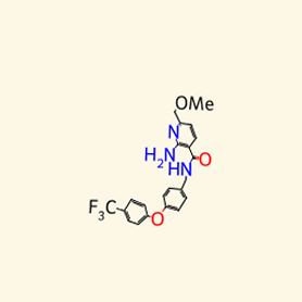 COCc1ccc(C(=O)NCc2ccc(Oc3ccc(C(F)(F)F)cc3)cc2)c(N)n1